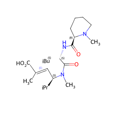 CC[C@H](C)[C@H](NC(=O)[C@H]1CCCCN1C)C(=O)N(C)[C@H](/C=C(\C)C(=O)O)C(C)C